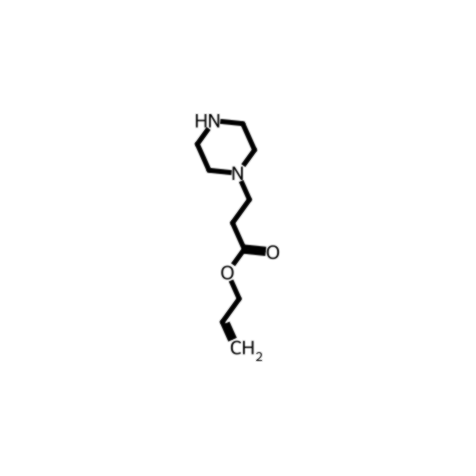 C=CCOC(=O)CCN1CCNCC1